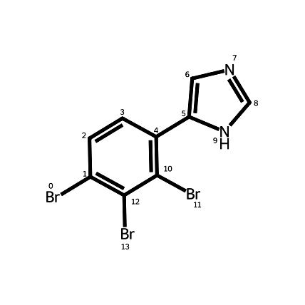 Brc1ccc(-c2cnc[nH]2)c(Br)c1Br